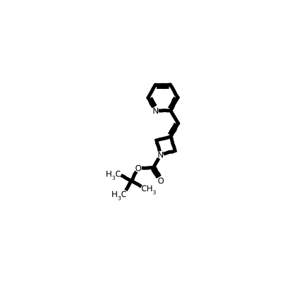 CC(C)(C)OC(=O)N1CC(=Cc2ccccn2)C1